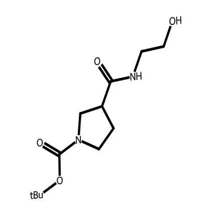 CC(C)(C)OC(=O)N1CCC(C(=O)NCCO)C1